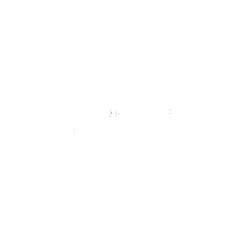 CC(=O)c1cccc(Cc2ccccc2Cl)c1C(=O)O